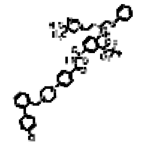 CC1(C)CN(CC[C@H](CSc2ccccc2)Nc2ccc(S(=O)(=O)NC(=O)c3ccc(N4CCN(Cc5ccccc5-c5ccc(Cl)cc5)CC4)cc3)cc2S(=O)(=O)C(F)(F)F)C=N1